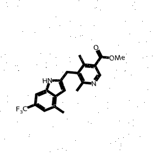 COC(=O)c1cnc(C)c(Cc2cc3c(C)cc(C(F)(F)F)cc3[nH]2)c1C